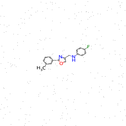 Cc1cccc(-c2nc(CNc3ccc(F)cc3)co2)c1